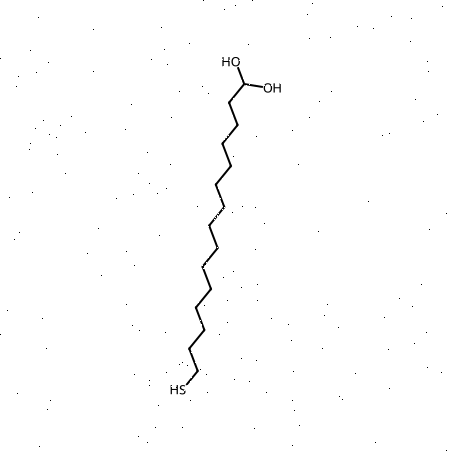 OC(O)CCCCCCCCCCCCCCS